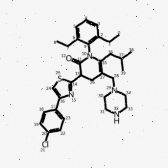 CCc1cccc(CC)c1N1C(=O)C(c2nc(-c3ccc(Cl)cc3)cs2)CC(CN2CCNCC2)=C1CC(C)C